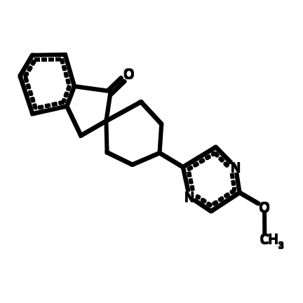 COc1cnc(C2CCC3(CC2)Cc2ccccc2C3=O)cn1